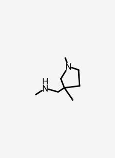 CNCC1(C)CCN(C)C1